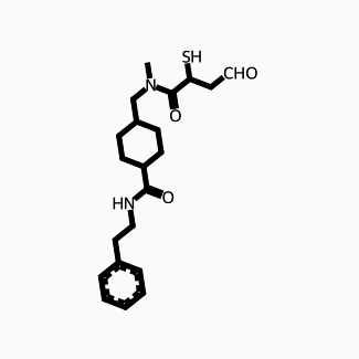 CN(CC1CCC(C(=O)NCCc2ccccc2)CC1)C(=O)C(S)CC=O